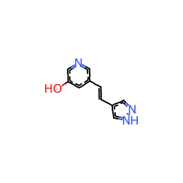 Oc1cncc(/C=C/c2cn[nH]c2)c1